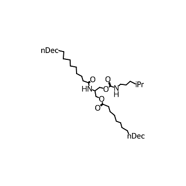 CCCCCCCCCCCCCCCCCCC(=O)NC(COC(=O)CCCCCCCCCCCCCCCCC)COC(=O)NCCCC(C)C